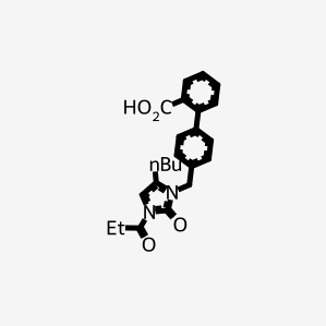 CCCCc1cn(C(=O)CC)c(=O)n1Cc1ccc(-c2ccccc2C(=O)O)cc1